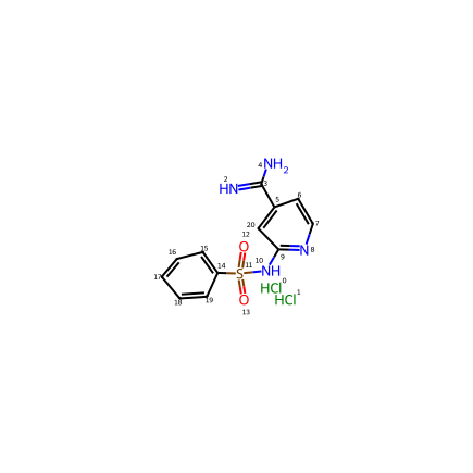 Cl.Cl.N=C(N)c1ccnc(NS(=O)(=O)c2ccccc2)c1